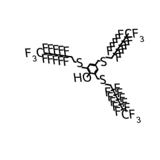 Oc1c(CSCCC(F)(F)C(F)(F)C(F)(F)C(F)(F)C(F)(F)C(F)(F)F)cc(CSCCC(F)(F)C(F)(F)C(F)(F)C(F)(F)C(F)(F)C(F)(F)F)cc1CSCCC(F)(F)C(F)(F)C(F)(F)C(F)(F)C(F)(F)C(F)(F)F